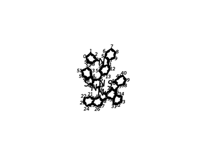 c1ccc(-n2c3ccccc3c3ccc(-c4nc(-n5c6c7ccccc7ccc6c6c7ccccc7c7c8ccccc8sc7c65)nc5sc6ccccc6c45)cc32)cc1